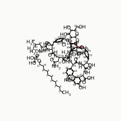 CCCCCCCCCCCCOP(=O)(O)O.CNC(CC(C)C)C(=O)NC1C(=O)NC(CC(N)=O)C(=O)NC2C(=O)NC3C(=O)NC(C(=O)NC(C(=O)O)c4cc(O)cc(O)c4-c4cc3ccc4O)C(O)c3ccc(c(Cl)c3)Oc3cc2cc(c3OC2OC(CO)C(O)C(O)C2OC2CC(C)(N)C(O)C(C)O2)Oc2ccc(cc2Cl)C1O